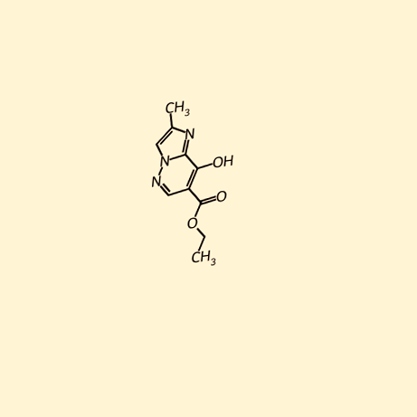 CCOC(=O)c1cnn2cc(C)nc2c1O